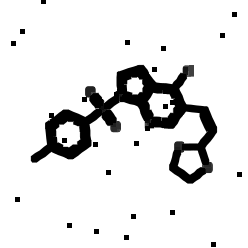 Cc1ccc(S(=O)(=O)n2ccc3c(Cl)c(/C=C\C4OCCO4)cnc32)cc1